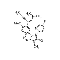 CC#C/C(=C\N(C)C)c1cc2c(cc1OC)ncc1c2n(-c2ccc(F)cn2)c(=O)n1C